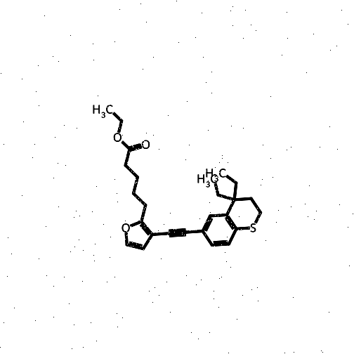 CCOC(=O)CCCCc1occc1C#Cc1ccc2c(c1)C(CC)(CC)CCS2